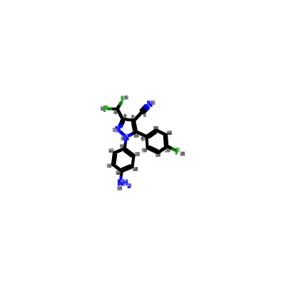 N#Cc1c(C(F)F)nn(-c2ccc(N)cc2)c1-c1ccc(F)cc1